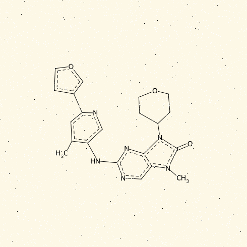 Cc1cc(-c2ccoc2)ncc1Nc1ncc2c(n1)n(C1CCOCC1)c(=O)n2C